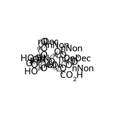 CCCCCCCCCCC[C@H](CC(=O)N[C@@H](CCC(=O)O)CO[C@@H]1O[C@H](CO)[C@@H](OP(=O)(O)O)[C@H](OC(=O)C[C@@H](CCCCCCCCCCC)OC(=O)CCCCCCCCC)[C@@H]1NC(=O)C[C@@H](CCCCCCCCCCC)OC(=O)CCCCCCCCC)OC(=O)CCCCCCCCC